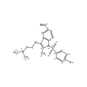 CSc1ccc2c(c1)c(SCCN(C)C)c(C)n2S(=O)(=O)c1ccc(F)cc1